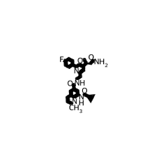 Cc1ccc2cc(C(=O)NCCc3cc4c(c(-c5ccc(F)cc5)n3)OC[C@H]4CC(N)=O)cc(NC(=O)C3CC3)c2n1